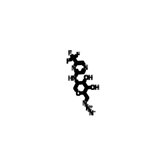 [N-]=[N+]=NCC1OCC(Nc2cncc(C(F)(F)F)n2)C(O)C1O